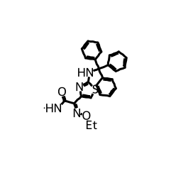 CCO/N=C(/C([NH])=O)c1csc(NC(c2ccccc2)(c2ccccc2)c2ccccc2)n1